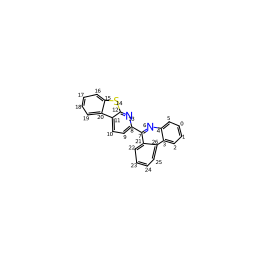 c1ccc2c(c1)nc(-c1ccc3c(n1)sc1ccccc13)c1ccccc12